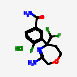 Cl.NC(=O)c1ccc(F)c([C@]2(C(F)F)CCOCC(N)=N2)c1